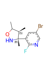 CC1ON[C@@](C)(c2cc(Br)cnc2F)[C@@H]1C